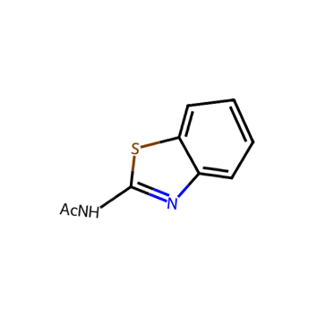 [CH2]C(=O)Nc1nc2ccccc2s1